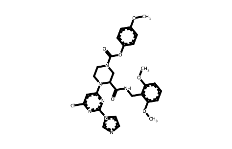 COc1ccc(OC(=O)N2CCN(c3cc(Cl)nc(-n4ccnc4)n3)C(C(=O)NCc3c(OC)cccc3OC)C2)cc1